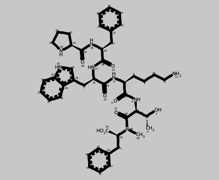 C[C@@H](O)[C@H](NC(=O)[C@H](CCCCN)NC(=O)[C@@H](Cc1c[nH]c2ccccc12)NC(=O)[C@H](Cc1ccccc1)NC(=O)[C@@H]1CCCN1)C(=O)N(C)[C@@H](Cc1ccccc1)C(=O)O